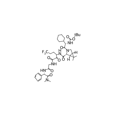 CN(C)C(=O)[C@@H](NC(=O)CNC(=O)C(=O)C(CCC(F)(F)F)NC(=O)[C@@H]1[C@@H]2[C@H](CN1C(=O)[C@@H](NC(=O)OC(C)(C)C)C1CCCCC1)C2(C)C)c1ccccc1